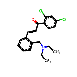 CCN(CC)Cc1ccccc1/C=C/C(=O)c1ccc(Cl)cc1Cl